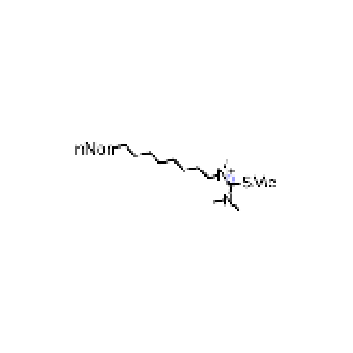 CCCCCCCCCCCCCCCCC/[N+](C)=C(/SC)N(C)C